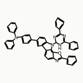 c1ccc(C2=NC(n3c4ccc(-c5ccc(N(c6ccccc6)c6ccccc6)cc5)cc4c4ccc5nc(-c6ccccc6)oc5c43)NC(c3ccccc3)=N2)cc1